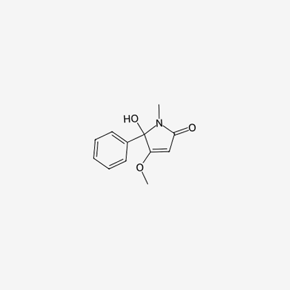 COC1=CC(=O)N(C)C1(O)c1ccccc1